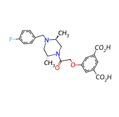 C[C@@H]1CN(Cc2ccc(F)cc2)[C@@H](C)CN1C(=O)COc1cc(C(=O)O)cc(C(=O)O)c1